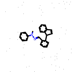 CN(N=Cc1ccccc1C1C=Cc2ccccc21)c1ccccc1